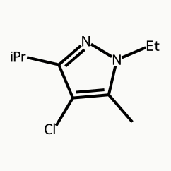 CCn1nc(C(C)C)c(Cl)c1C